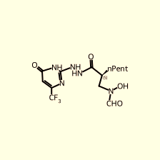 CCCCC[C@@H](CN(O)C=O)C(=O)NNc1nc(C(F)(F)F)cc(=O)[nH]1